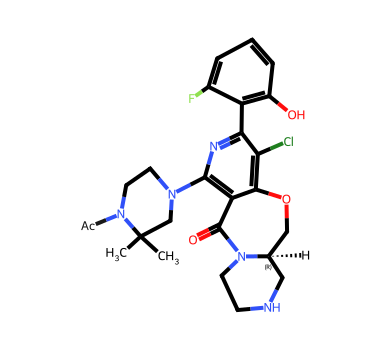 CC(=O)N1CCN(c2nc(-c3c(O)cccc3F)c(Cl)c3c2C(=O)N2CCNC[C@@H]2CO3)CC1(C)C